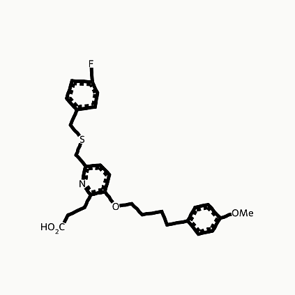 COc1ccc(CCCCOc2ccc(CSCc3ccc(F)cc3)nc2CCC(=O)O)cc1